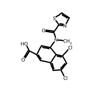 CN(C(=O)c1nccs1)c1cc(C(=O)O)cc2cc(Cl)cc(Cl)c12